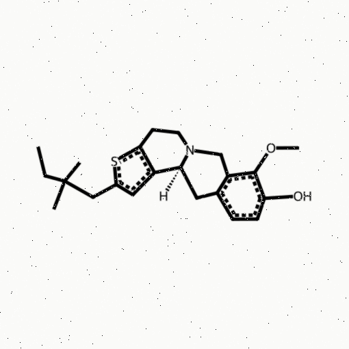 CCC(C)(C)Cc1cc2c(s1)CCN1Cc3c(ccc(O)c3OC)C[C@@H]21